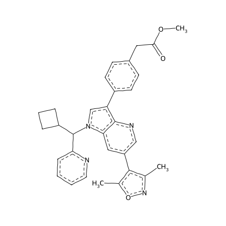 COC(=O)Cc1ccc(-c2cn(C(c3ccccn3)C3CCC3)c3cc(-c4c(C)noc4C)cnc23)cc1